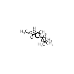 C.CCOC(=O)C1(O)CCN(C(=O)OC(C)(C)C)CC1